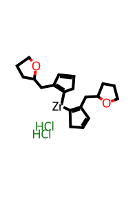 C1=CC(CC2CCCO2)=[C]([Zr][C]2=C(CC3CCCO3)C=CC2)C1.Cl.Cl